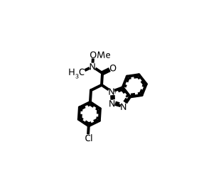 CON(C)C(=O)C(Cc1ccc(Cl)cc1)n1nnc2ccccc21